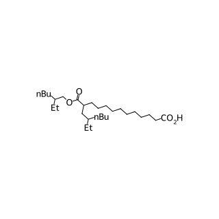 CCCCC(CC)COC(=O)C(CCCCCCCCCCC(=O)O)CC(CC)CCCC